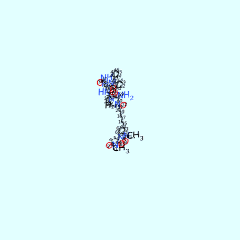 CN1C(=O)CCC(n2c(=O)n(C)c3cc(CCCCCCC(=O)N4CC[C@H]5CC[C@@H](C(=O)N[C@@H](CCC(N)=O)C(=O)NC(c6ccccc6)c6ccccc6)N5C(=O)[C@@H](N)C4)ccc32)C1=O